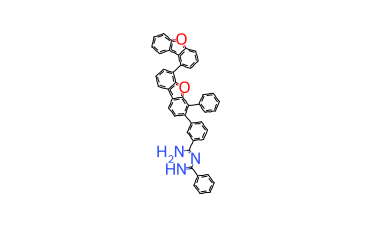 N=C(/N=C(\N)c1cccc(-c2ccc3c(oc4c(-c5cccc6oc7ccccc7c56)cccc43)c2-c2ccccc2)c1)c1ccccc1